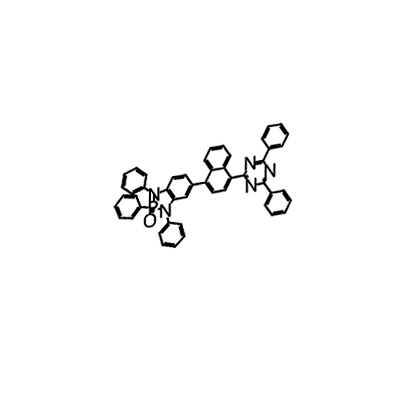 O=P1(c2ccccc2)N(c2ccccc2)c2ccc(-c3ccc(-c4nc(-c5ccccc5)nc(-c5ccccc5)n4)c4ccccc34)cc2N1c1ccccc1